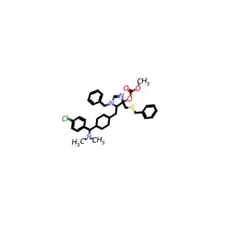 COC(=O)OC1(CSCc2ccccc2)N=CN(Cc2ccccc2)C1CC1CCC(C(c2ccc(Cl)cc2)N(C)C)CC1